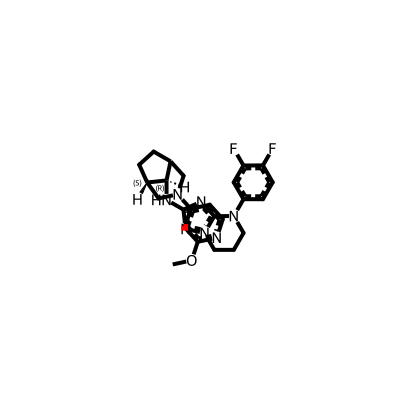 COc1cc(N2CC3CC[C@@H](C2)[C@@H]3Nc2nc3n(n2)CCCN3c2ccc(F)c(F)c2)ccn1